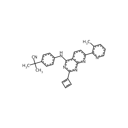 Cc1cccnc1-c1ccc2c(Nc3ccc(C(C)(C)C#N)cc3)nc(C3=CC=C3)nc2n1